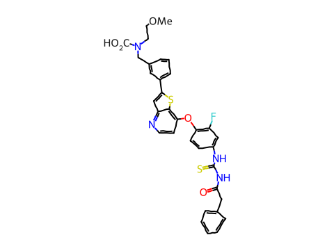 COCCN(Cc1cccc(-c2cc3nccc(Oc4ccc(NC(=S)NC(=O)Cc5ccccc5)cc4F)c3s2)c1)C(=O)O